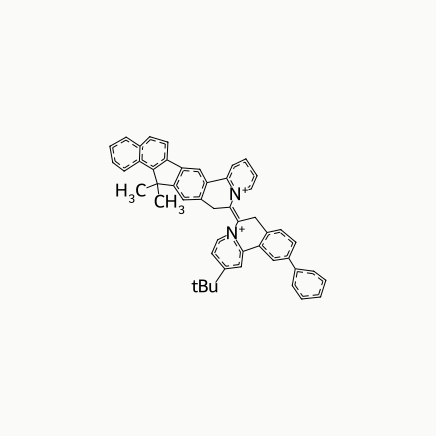 CC(C)(C)c1cc[n+]2c(c1)-c1cc(-c3ccccc3)ccc1C/C2=C1/Cc2cc3c(cc2-c2cccc[n+]21)-c1ccc2ccccc2c1C3(C)C